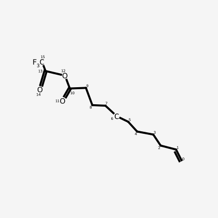 C=CCCCCCCCCC(=O)OC(=O)C(F)(F)F